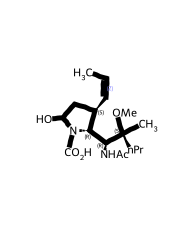 C/C=C\[C@@H]1CC(O)N(C(=O)O)[C@H]1[C@@H](NC(C)=O)[C@](C)(CCC)OC